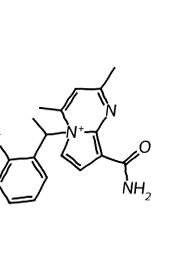 CC1=CC(C)=NC2=C(C(N)=O)C=C[N+]12C(C)c1ccccc1F